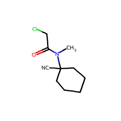 CN(C(=O)CCl)C1(C#N)CCCCC1